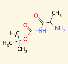 CC(N)C(=O)NC(=O)OC(C)(C)C